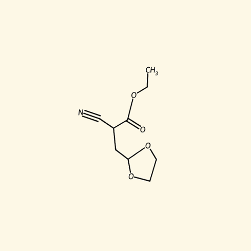 CCOC(=O)C(C#N)CC1OCCO1